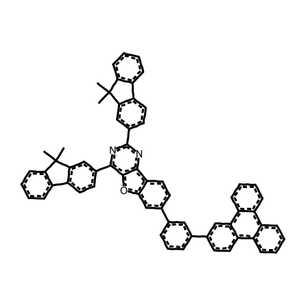 CC1(C)c2ccccc2-c2ccc(-c3nc(-c4ccc5c(c4)C(C)(C)c4ccccc4-5)c4oc5cc(-c6cccc(-c7ccc8c9ccccc9c9ccccc9c8c7)c6)ccc5c4n3)cc21